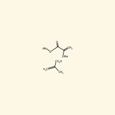 C=C(C)C(=O)O.C=C(OC)C(=O)OCCCC